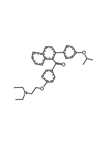 CCN(CC)CCOc1ccc(C(=O)c2c(-c3ccc(OC(C)C)cc3)ccc3ccccc23)cc1